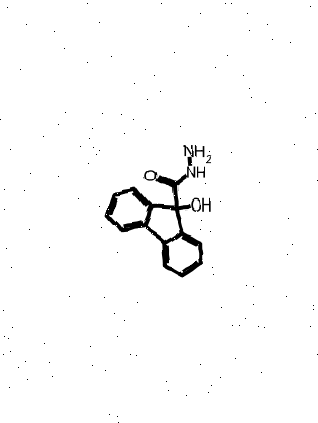 NNC(=O)C1(O)c2ccccc2-c2ccccc21